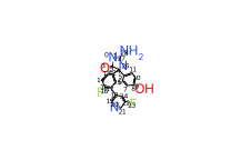 CN1C(=O)C(c2ccc(O)cc2)(c2ccc(F)c(-c3cncc(F)c3)c2)N=C1N